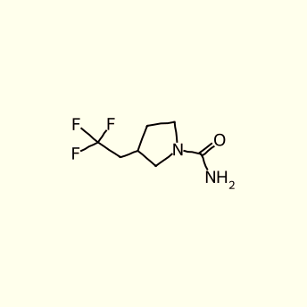 NC(=O)N1CCC(CC(F)(F)F)C1